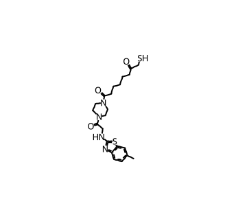 Cc1ccc2nc(NCC(=O)N3CCN(C(=O)CCCCCC(=O)CS)CC3)sc2c1